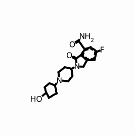 NC(=O)c1cc(F)cc2c1C(=O)N(C1CCN(C3CCC(O)CC3)CC1)C2